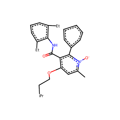 CCc1cccc(CC)c1NC(=O)c1c(OCCC(C)C)cc(C)[n+]([O-])c1-c1ccccc1